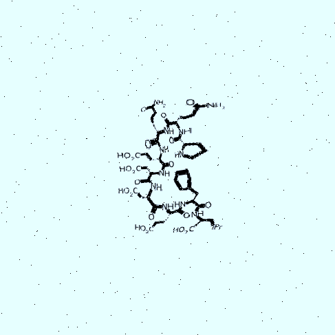 CC(C)C[C@H](NC(=O)[C@H](Cc1ccccc1)NC(=O)[C@H](CCC(=O)O)NC(=O)[C@H](CC(=O)O)NC(=O)[C@H](CC(=O)O)NC(=O)[C@H](CCC(=O)O)NC(=O)[C@H](CCC(N)=O)NC(=O)[C@H](CCC(N)=O)NC(=O)[C@@H]1CCCN1)C(=O)O